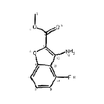 COC(=O)c1oc2cccc(F)c2c1N